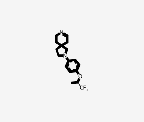 C[C@H](Oc1ccc(N2CCC3(CC=NCC3)C2)cc1)C(F)(F)F